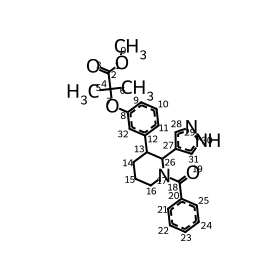 COC(=O)C(C)(C)Oc1cccc(C2CCCN(C(=O)c3ccccc3)C2c2cn[nH]c2)c1